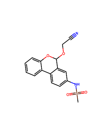 CS(=O)(=O)Nc1ccc2c(c1)C(OCC#N)Oc1ccccc1-2